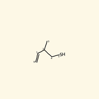 C=CC(C)CS